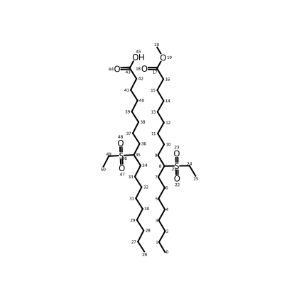 CCCCCCCCC(CCCCCCCCC(=O)OC)S(=O)(=O)CC.CCCCCCCCCC(CCCCCCCC(=O)O)S(=O)(=O)CC